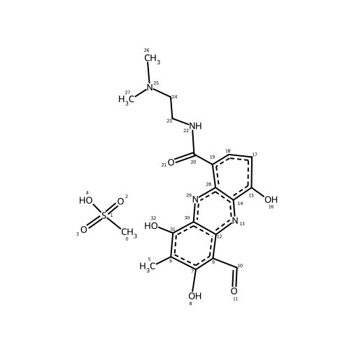 CS(=O)(=O)O.Cc1c(O)c(C=O)c2nc3c(O)ccc(C(=O)NCCN(C)C)c3nc2c1O